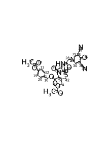 CC(=O)OCC1=C(C(=O)OCc2ccc(OC(C)=O)cc2)N2C(=O)[C@@H](NC(=O)Cn3cc(C#N)c(=O)c(C#N)c3)[C@H]2SC1